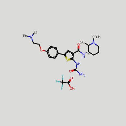 CCN(CC)CCOc1ccc(-c2cc(C(=O)N[C@H]3CCCN(C(=O)O)C3C(C)(C)C)c(NC(N)=O)s2)cc1.O=C(O)C(F)(F)F